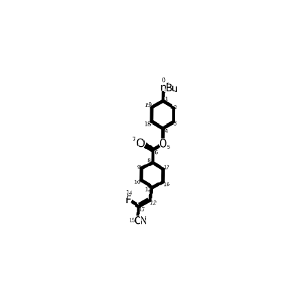 CCCCC1CCC(OC(=O)C2CCC(C=C(F)C#N)CC2)CC1